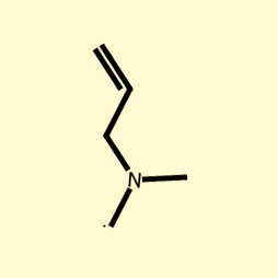 [CH2]N(C)CC=C